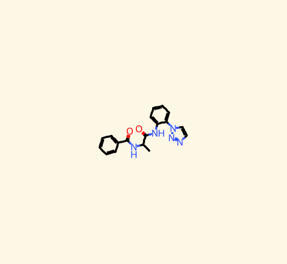 CC(NC(=O)c1ccccc1)C(=O)Nc1ccccc1-n1ccnn1